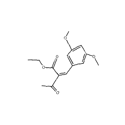 CCOC(=O)C(=Cc1cc(OC)cc(OC)c1)C(C)=O